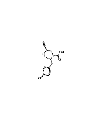 C#C[C@H]1CN(C(=O)O)[C@@H](Cc2ccc(Cl)cc2)CO1